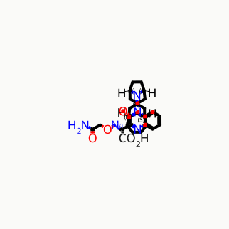 NC(=O)CO/N=C(\C(=O)O)c1nc2ccccc2n([C@H]2C[C@H]3CC[C@@H](C2)N3C2C[C@H]3CCCC[C@@H](C2)C3)c1=O